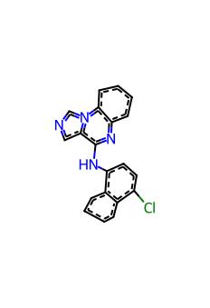 Clc1ccc(Nc2nc3ccccc3n3cncc23)c2ccccc12